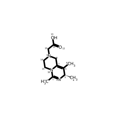 CC1=N[C@@H](C)C(C)=C2CN(CC(=O)O)CCN12